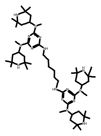 CN(c1nc(NCCCCCCNc2nc(N(C)C3CC(C)(C)NC(C)(C)C3)nc(N(C)C3CC(C)(C)NC(C)(C)C3)n2)nc(N(C)C2CC(C)(C)NC(C)(C)C2)n1)C1CC(C)(C)NC(C)(C)C1